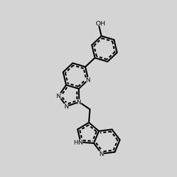 Oc1cccc(-c2ccc3nnn(Cc4c[nH]c5ncccc45)c3n2)c1